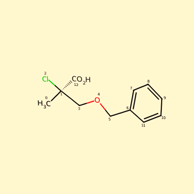 C[C@@](Cl)(COCc1ccccc1)C(=O)O